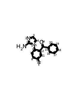 Nc1nccn1-c1ccc(F)cc1C(=O)c1ccccc1